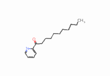 CCCCCCCCCCC(=O)c1ccccn1